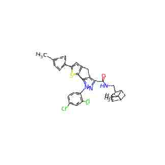 Cc1ccc(-c2cc3c(s2)-c2c(c(C(=O)NCC4CCC5CC4C5(C)C)nn2-c2ccc(Cl)cc2Cl)C3)cc1